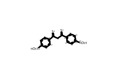 CCCCCCCCc1ccc(C(=S)CC(=S)c2ccc(CCCCCCCC)cc2)cc1